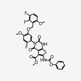 COC(=O)c1c(NC(=O)Oc2ccccc2)sc2[nH]c(=O)n(-c3cc(OCc4c(OC)ccc(F)c4F)c(OC)cc3F)c(=O)c12